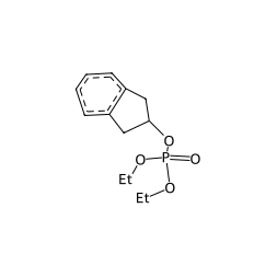 CCOP(=O)(OCC)OC1Cc2ccccc2C1